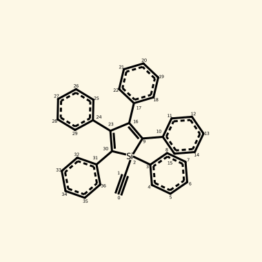 C#C[Si]1(c2ccccc2)C(c2ccccc2)=C(c2ccccc2)C(c2ccccc2)=C1c1ccccc1